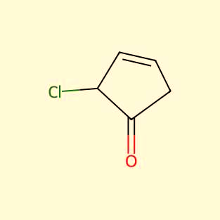 O=C1CC=CC1Cl